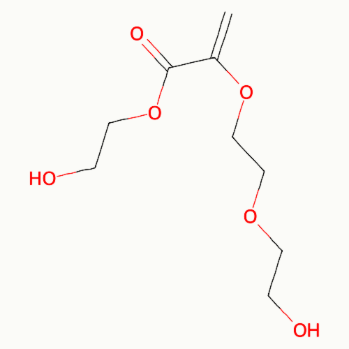 C=C(OCCOCCO)C(=O)OCCO